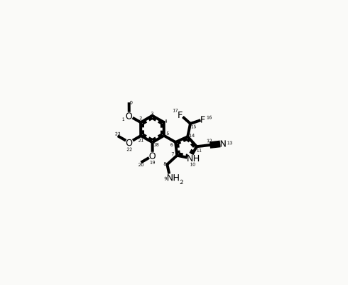 COc1ccc(-c2c(CN)[nH]c(C#N)c2C(F)F)c(OC)c1OC